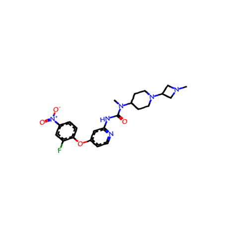 CN1CC(N2CCC(N(C)C(=O)Nc3cc(Oc4ccc([N+](=O)[O-])cc4F)ccn3)CC2)C1